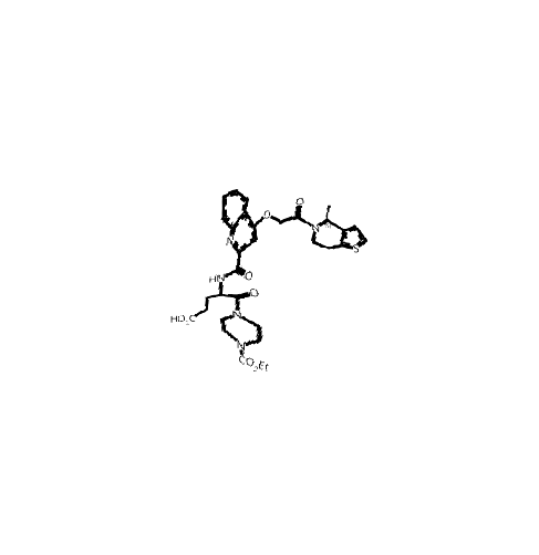 CCOC(=O)N1CCN(C(=O)C(CCC(=O)O)NC(=O)c2cc(OCC(=O)N3CCc4sccc4[C@@H]3C)c3ccccc3n2)CC1